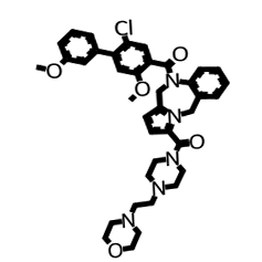 COc1cccc(-c2cc(OC)c(C(=O)N3Cc4ccc(C(=O)N5CCN(CCN6CCOCC6)CC5)n4Cc4ccccc43)cc2Cl)c1